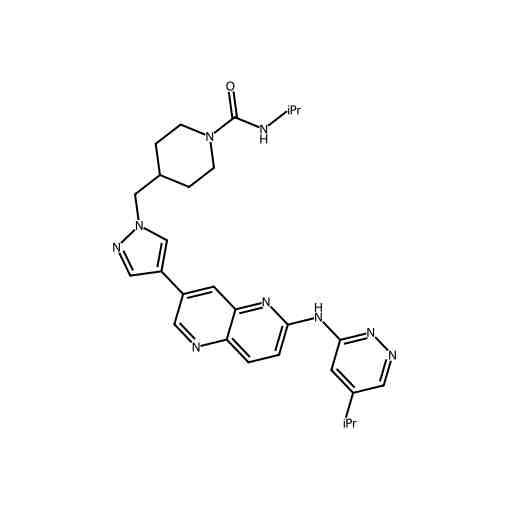 CC(C)NC(=O)N1CCC(Cn2cc(-c3cnc4ccc(Nc5cc(C(C)C)cnn5)nc4c3)cn2)CC1